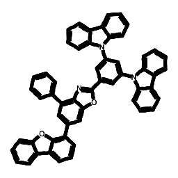 c1ccc(-c2cc(-c3cccc4c3oc3ccccc34)cc3oc(-c4cc(-n5c6ccccc6c6ccccc65)cc(-n5c6ccccc6c6ccccc65)c4)nc23)cc1